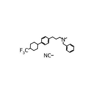 CC#N.CN(CCCc1ccc(C2CCC(C(F)(F)F)CC2)cc1)Cc1ccccc1